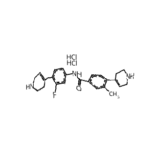 Cc1cc(C(=O)Nc2ccc(C3=CCNCC3)c(F)c2)ccc1C1=CCNCC1.Cl.Cl